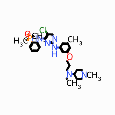 CCN(CCCOc1cc(C)cc(Nc2ncc(Cl)c(Nc3ccccc3P(C)(C)=O)n2)c1)C1CCN(C)CC1